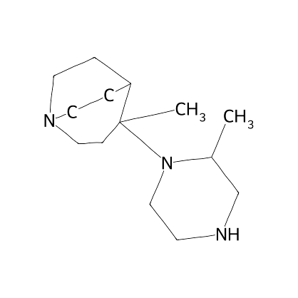 CC1CNCCN1C1(C)CCN2CCC1CC2